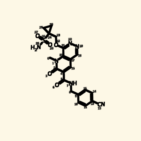 Cn1c(=O)c(C(=O)NCc2ccc(C#N)cc2)cc2cnnc(OCC3(S(N)(=O)=O)CC3)c21